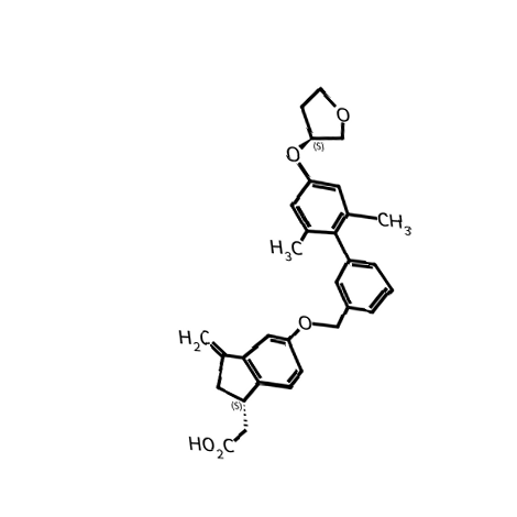 C=C1C[C@@H](CC(=O)O)c2ccc(OCc3cccc(-c4c(C)cc(O[C@H]5CCOC5)cc4C)c3)cc21